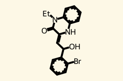 CCN1C(=O)/C(=C/C(O)c2ccccc2Br)Nc2ccccc21